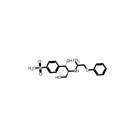 CC(COc1ccccc1)N[C@@H](CO)[C@@H](O)c1ccc(S(C)(=O)=O)cc1